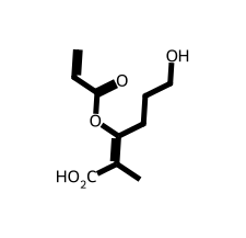 C=CC(=O)OC(CCCO)=C(C)C(=O)O